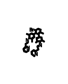 Cc1cc(-c2c(C)ccc(Br)c2-c2cc(C)c(N=CCc3ccccn3)c(C)c2)cc(C)c1N=CCc1ccccn1